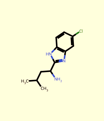 CC(C)CC(N)c1nc2cc(Cl)ccc2[nH]1